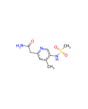 Cc1cc([CH]C(N)=O)ncc1NS(C)(=O)=O